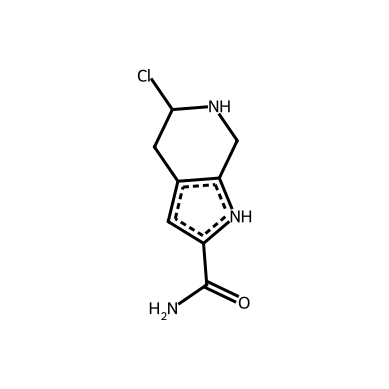 NC(=O)c1cc2c([nH]1)CNC(Cl)C2